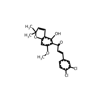 COc1cc2c(c(O)c1C(=O)/C=C/c1ccc(Cl)c(Cl)c1)C=CC(C)(C)O2